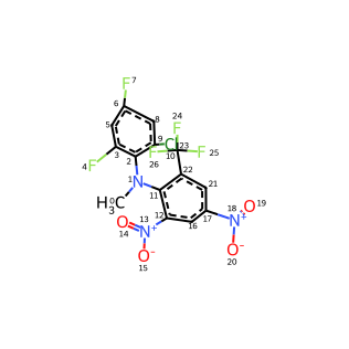 CN(c1c(F)cc(F)cc1Cl)c1c([N+](=O)[O-])cc([N+](=O)[O-])cc1C(F)(F)F